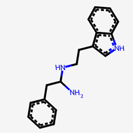 NC(Cc1ccccc1)NCCc1c[nH]c2ccccc12